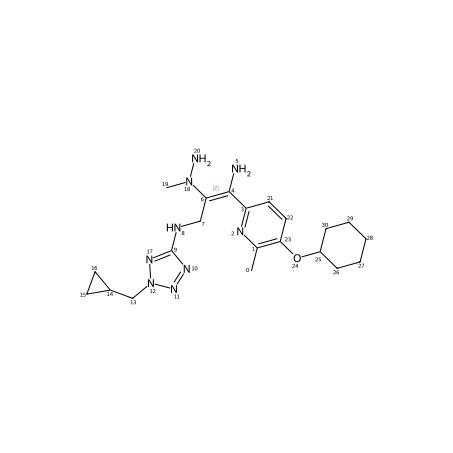 Cc1nc(/C(N)=C(\CNc2nnn(CC3CC3)n2)N(C)N)ccc1OC1CCCCC1